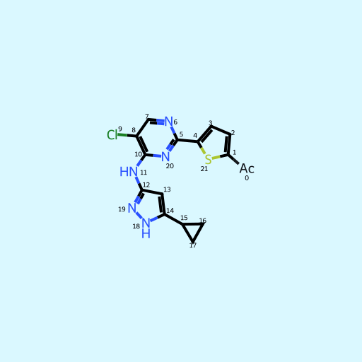 CC(=O)c1ccc(-c2ncc(Cl)c(Nc3cc(C4CC4)[nH]n3)n2)s1